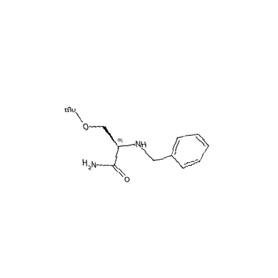 CC(C)(C)OC[C@@H](NCc1ccccc1)C(N)=O